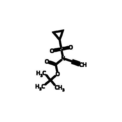 C#CN(C(=O)OC(C)(C)C)S(=O)(=O)C1CC1